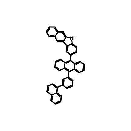 c1cc(-c2cccc3ccccc23)cc(-c2c3ccccc3c(-c3ccc4[nH]c5cc6ccccc6cc5c4c3)c3ccccc23)c1